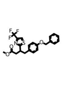 COC(=O)CC(Cc1ccc(OCc2ccccc2)cc1)c1nc(C(F)(F)F)cs1